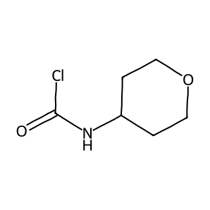 O=C(Cl)NC1CCOCC1